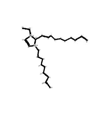 CCCCCCCCCCC1N(CC)C=CN1CCCCCCCCC